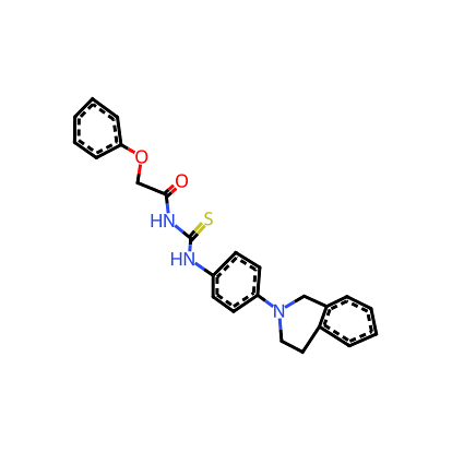 O=C(COc1ccccc1)NC(=S)Nc1ccc(N2CCc3ccccc3C2)cc1